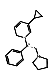 C1=CC(C2CC2)=CN([C@H](CN2CCCC2)c2ccccc2)C1